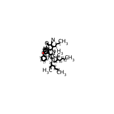 CCCCC1=C(C#N)C(=O)n2nc(Cc3ccccc3)nc2/C1=N\c1sc(N(CC(CC)CCCC)CC(CC)CCCC)nc1-c1ccccc1